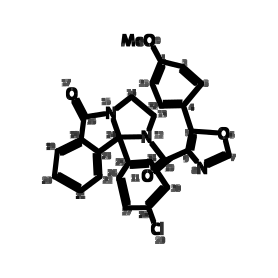 COc1ccc(-c2ocnc2C(=O)N2CCN3C(=O)c4ccccc4C32c2ccc(Cl)cc2)cc1